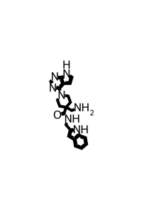 NCC1(C(=O)NCc2cc3ccccc3[nH]2)CCN(c2ncnc3[nH]ccc23)CC1